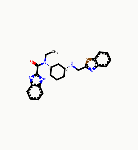 CCN(C(=O)c1nc2ccccc2[nH]1)[C@H]1CCC[C@@H](NCc2nc3ccccc3s2)C1